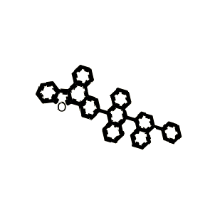 c1ccc(-c2ccc(-c3c4ccccc4c(-c4ccc5c(c4)c4ccccc4c4c6ccccc6oc54)c4ccccc34)c3ccccc23)cc1